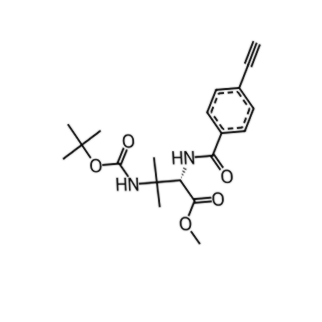 C#Cc1ccc(C(=O)N[C@H](C(=O)OC)C(C)(C)NC(=O)OC(C)(C)C)cc1